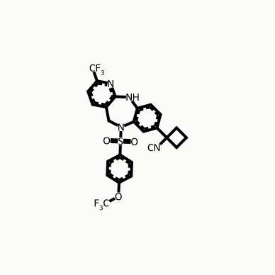 [C-]#[N+]C1(c2ccc3c(c2)N(S(=O)(=O)c2ccc(OC(F)(F)F)cc2)Cc2ccc(C(F)(F)F)nc2N3)CCC1